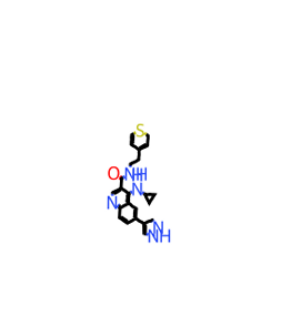 O=C(NCCC1=CCSC=C1)c1cnc2ccc(-c3cn[nH]c3)cc2c1NC1CC1